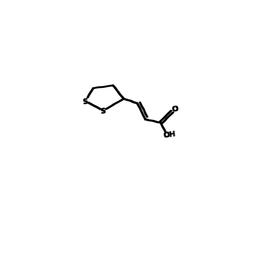 O=C(O)C=CC1CCSS1